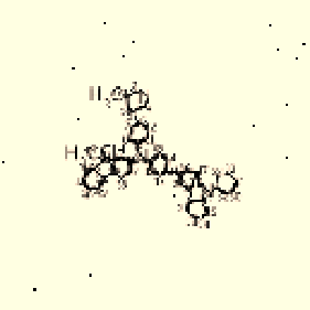 CC1C=NC=C(c2ccc(N(c3ccc(-c4ccc5c(c4)c4ccccc4n5C4=CC=CCC4)cc3)c3ccc4c(c3)C(C)(C)c3ccccc3-4)cc2)C1